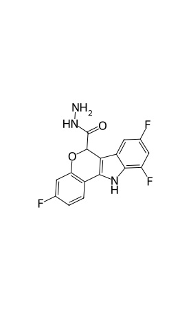 NNC(=O)C1Oc2cc(F)ccc2-c2[nH]c3c(F)cc(F)cc3c21